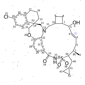 C[C@@H]1C/C=C/C(O)C2CCC2CN2C[C@@]3(CCCc4cc(Cl)ccc43)COc3ccc(cc32)C(=O)NS(=O)(=O)C1CC1CC1